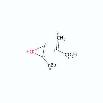 C=CC(=O)O.CCCCC1CO1